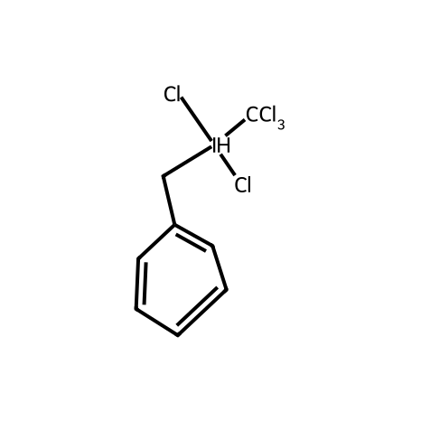 ClC(Cl)(Cl)[IH](Cl)(Cl)Cc1ccccc1